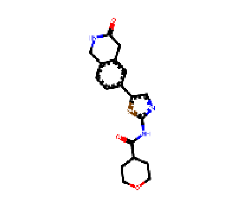 O=C1Cc2cc(-c3cnc(NC(=O)C4CCOCC4)s3)ccc2CN1